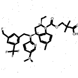 CC[C@@H]1C[C@H](N(Cc2cc(CF)cc(C(F)(F)F)c2)c2ccc(N(C)C)cn2)c2cc(C)ccc2N1C(=O)OCC(C)(C)C(=O)O